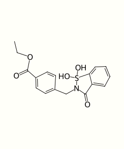 CCOC(=O)c1ccc(CN2C(=O)c3ccccc3S2(O)O)cc1